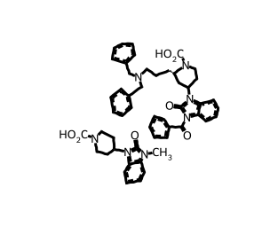 Cn1c(=O)n(C2CCN(C(=O)O)CC2)c2ccccc21.O=C(O)N1CCC(n2c(=O)n(C(=O)c3ccccc3)c3ccccc32)C[C@@H]1CCCN(Cc1ccccc1)Cc1ccccc1